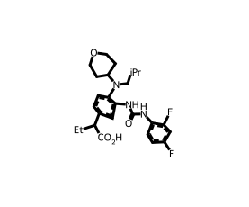 CCC(C(=O)O)c1ccc(N(CC(C)C)C2CCOCC2)c(NC(=O)Nc2ccc(F)cc2F)c1